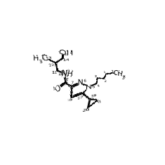 CCCCCn1nc(C(=O)NCC(C)CO)cc1C1CC1